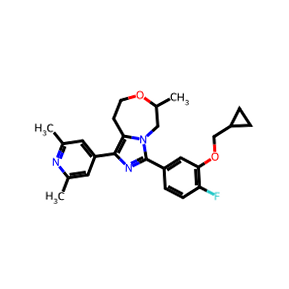 Cc1cc(-c2nc(-c3ccc(F)c(OCC4CC4)c3)n3c2CCOC(C)C3)cc(C)n1